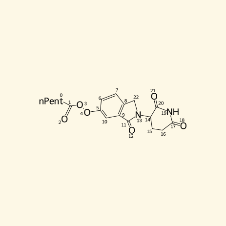 CCCCCC(=O)OOc1ccc2c(c1)C(=O)N(C1CCC(=O)NC1=O)C2